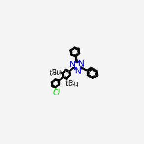 CC(C)(C)c1cc(-c2nc(-c3ccccc3)nc(-c3ccccc3)n2)cc(C(C)(C)C)c1-c1cccc(Cl)c1